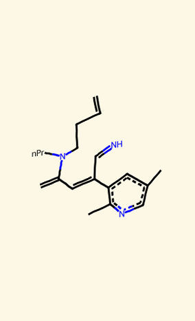 C=CCCN(CCC)C(=C)/C=C(\C=N)c1cc(C)cnc1C